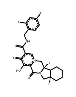 O=C(NCc1ccc(F)cc1F)c1cn2c(c(O)c1=O)C(=O)N1C[C@H]3CCCCC3[C@H]1C2